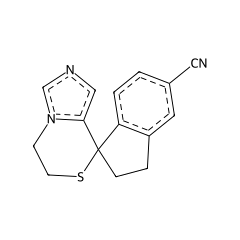 N#Cc1ccc2c(c1)CCC21SCCn2cncc21